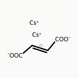 O=C([O-])/C=C/C(=O)[O-].[Cs+].[Cs+]